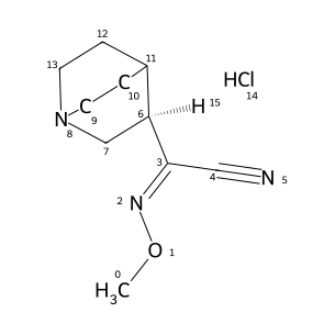 CON=C(C#N)[C@H]1CN2CCC1CC2.Cl